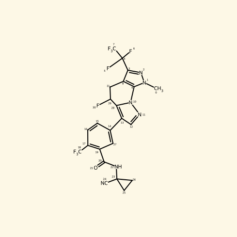 Cn1nc(C(F)(F)C(F)(F)F)c2c1-n1ncc(-c3ccc(C(F)(F)F)c(C(=O)NC4(C#N)CC4)c3)c1C(F)C2